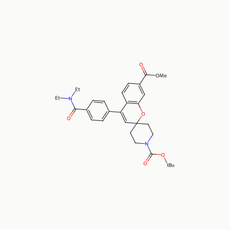 CCN(CC)C(=O)c1ccc(C2=CC3(CCN(C(=O)OC(C)(C)C)CC3)Oc3cc(C(=O)OC)ccc32)cc1